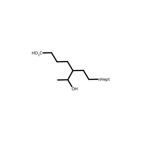 CCCCCCCCCC(CCCC(=O)O)C(C)O